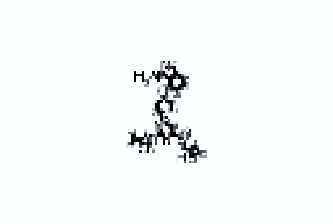 N#CC1(COc2nc(C(=O)NC34CC(C3)C4)cc(N3CCC(Oc4cccc5c4C(N)=NC5)CC3)n2)CC1